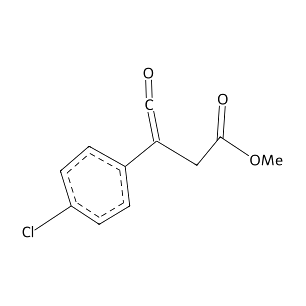 COC(=O)CC(=C=O)c1ccc(Cl)cc1